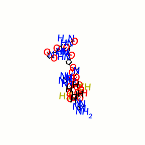 CC(C)[C@H](NC(=O)CCN1C(=O)C=CC1=O)C(=O)N[C@@H](CCCNC(N)=O)C(=O)Nc1ccc(COC(=O)N(C)CCOC(=O)O[C@@H]2[C@@H]3O[P@](=O)(S)OC[C@H]4O[C@@H](n5cnc6c(N)ncnc65)[C@H](O[P@](=O)(S)OC[C@H]3O[C@H]2n2cnc3c(N)ncnc32)[C@@H]4O)cc1